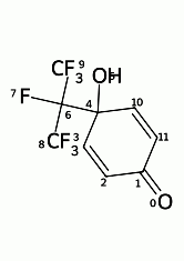 O=C1C=CC(O)(C(F)(C(F)(F)F)C(F)(F)F)C=C1